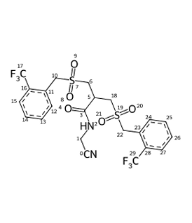 N#CCNC(=O)C(CS(=O)(=O)Cc1ccccc1C(F)(F)F)CS(=O)(=O)Cc1ccccc1C(F)(F)F